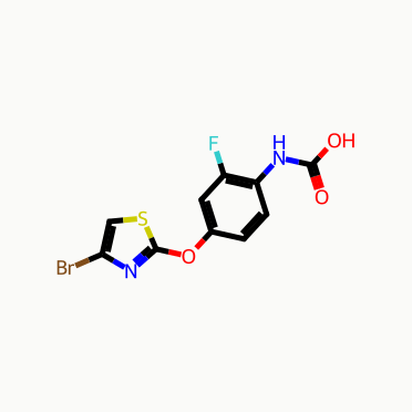 O=C(O)Nc1ccc(Oc2nc(Br)cs2)cc1F